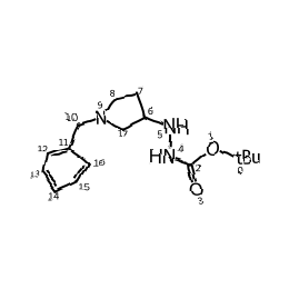 CC(C)(C)OC(=O)NNC1CCN(Cc2ccccc2)C1